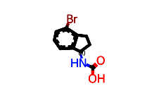 O=C(O)N[C@@H]1CCc2c(Br)cccc21